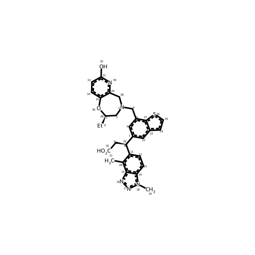 CC[C@@H]1CN(Cc2cc([C@H](CC(=O)O)c3ccc4c(nnn4C)c3C)cc3ccsc23)Cc2nc(O)ccc2O1